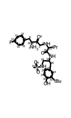 CC(C)C(NCC(=O)[C@@H](N)Cc1ccc(F)cc1)C(=O)NC(CNS(C)(=O)=O)Cc1ccc(O)c(C(C)(C)C)c1